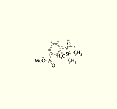 COC(=O)c1cccc(C2([Si](C)(C)C)CO2)c1